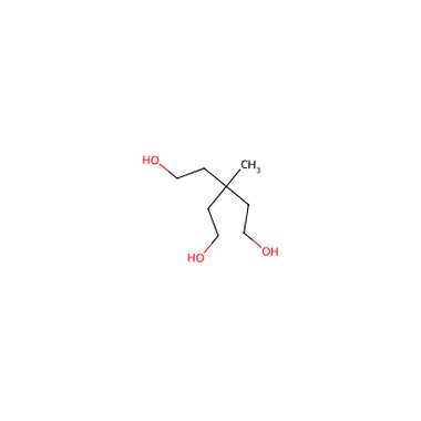 CC(CCO)(CCO)CCO